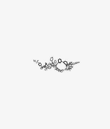 CCn1c(-c2cccnc2[C@H](C)OC)c2c3cc(ccc31)-c1cccc(c1)C[C@H](NC(=O)[C@H](C1CCCC1)N(C)C(=O)[C@@H]1CCN(C(=O)[C@H]3[C@@H](C4CC4)N3[S@+]([O-])c3ccc(C)cc3)[C@H]1C)C(=O)N1CCC[C@H](N1)C(=O)OCC(C)(C)C2